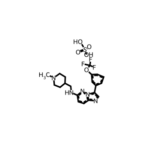 CN1CCC(CNc2ccc3ncc(-c4cccc(OC(F)(F)F)c4)n3n2)CC1.O=S(=O)(O)O